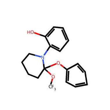 Oc1ccccc1N1CCCCC1(Oc1ccccc1)OC(F)(F)F